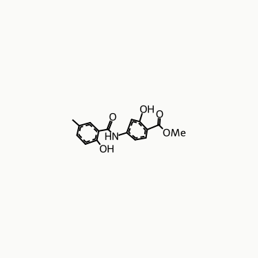 COC(=O)c1ccc(NC(=O)c2cc(C)ccc2O)cc1O